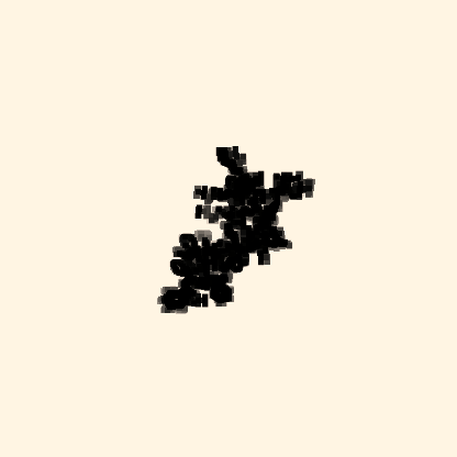 CC[C@H](C)[C@H](NC(=O)[C@H](Cc1c[nH]c2ccccc12)NC(=O)[C@H](C)NC(=O)[C@H](C)NC(=O)[C@@H](N)Cc1c[nH]c2ccccc12)C(=O)NCC(=O)N[C@@H](CC(C)C)C(=O)N[C@@H](CCCNC(=N)N)C(=O)N[C@@H](CCCNC(=N)N)C(=O)N[C@@H](CCCCN)C(=O)N[C@@H](CCCCN)C(=O)O